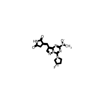 C[S+]([O-])c1nc(N2CC[C@H](F)C2)n2ncc(C=C3CC(=O)NC3=O)c2n1